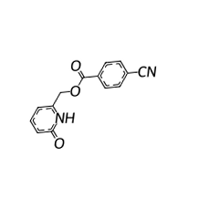 N#Cc1ccc(C(=O)OCc2cccc(=O)[nH]2)cc1